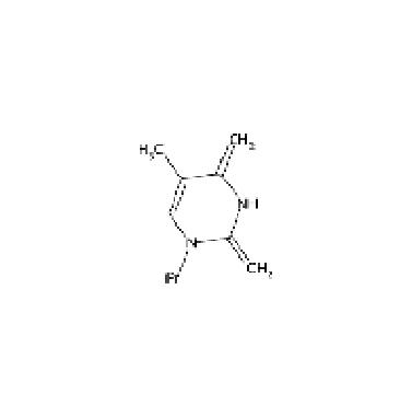 C=C1NC(=C)N(C(C)C)C=C1C